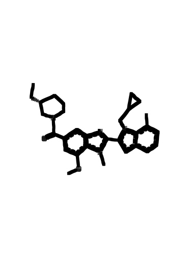 CC[C@@H]1CCCN(C(=O)c2cc(OC)c3c(c2)nc(-c2cc4cccc(C)c4n2CC2CC2)n3C)C1